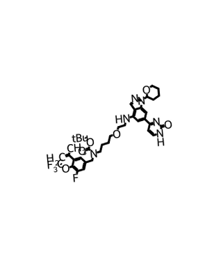 C=C(C)c1cc(CN(CCCCOCCNc2cc(-c3cc[nH]c(=O)n3)cc3c2cnn3C2CCCCO2)C(=O)OC(C)(C)C)cc(F)c1OC(F)(F)F